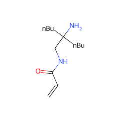 C=CC(=O)NCC(N)(CCCC)CCCC